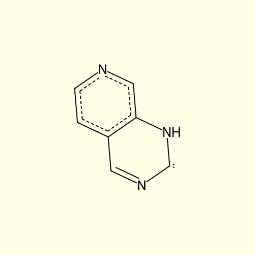 [C]1N=Cc2ccncc2N1